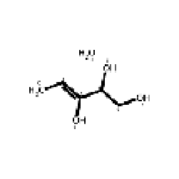 CC=C(O)C(O)CO.O